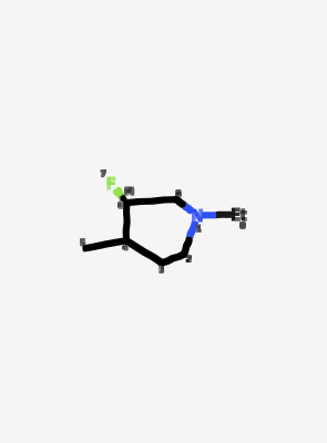 CCN1CCC(C)[C@@H](F)C1